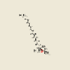 CCCCCCCCCCCCCCCCCCC[Si]1(C)CCCC(C)O1